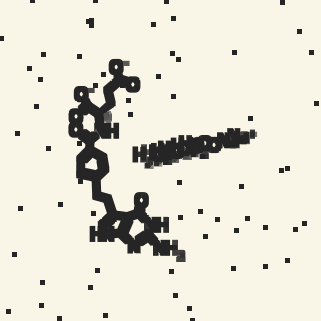 Nc1nc2[nH]cc(CCc3ccc(C(=O)N[C@H](CCC(=O)[O-])C(=O)[O-])cc3)c2c(=O)[nH]1.O.O.O.O.O.O.O.[Na+].[Na+]